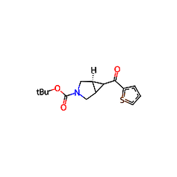 CC(C)(C)OC(=O)N1CC2C(C(=O)c3cccs3)[C@@H]2C1